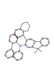 CC1(C)c2ccccc2-c2cc(-c3cccc4c3CCCC4)c(N(c3ccccc3)c3ccccc3-c3ccccc3)cc21